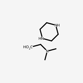 C1CNCCN1.CN(C)CC(=O)O